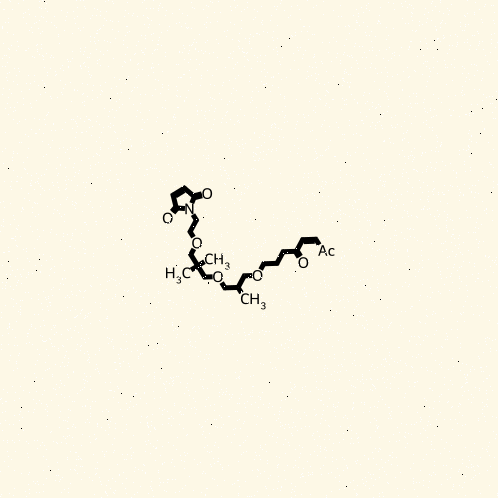 CC(=O)/C=C\C(=O)CCCOCC(C)COCC(C)(C)COCCN1C(=O)C=CC1=O